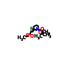 CCOC(=O)/C=C/[C@]1(F)CCCN(C(=O)OC(C)(C)C)C1